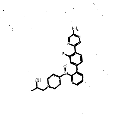 CC(O)CN1CCC([S+]([O-])c2ncccc2-c2ccc(-c3cnc(N)cn3)c(F)c2)CC1